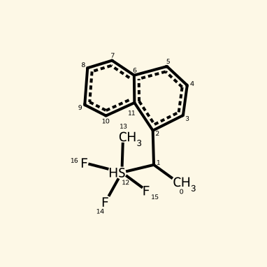 CC(c1cccc2ccccc12)[SH](C)(F)(F)F